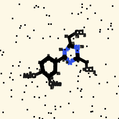 COc1ccc(-c2nc(CC(Cl)(Cl)Cl)nc(CC(Cl)(Cl)Cl)n2)cc1OC